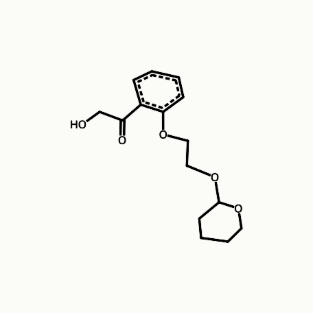 O=C(CO)c1ccccc1OCCOC1CCCCO1